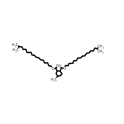 CC(C)CCCCCCCCCCCCCCCOC(=O)C1CCC(C)CC1C(=O)OCCCCCCCCCCCCCCCC(C)C